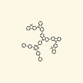 CC1(C)c2ccccc2-c2ccc(-n3c4ccccc4c4ccc(-c5ccc6c(c5)c5cc(-c7ccc8c9ccccc9n(-c9ccc%10c(c9)C(C)(C)c9ccccc9-%10)c8c7)ccc5n6-c5ccc(-c6nc(-c7ccc(-c8ccccc8)cc7)nc(-c7ccc(-c8ccccc8)cc7)n6)cc5)cc43)cc21